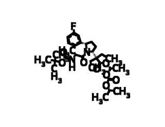 CCC(CC)(C(=O)OC(C)OC(=O)OC(C)C)[C@H]1CC[C@@H](c2cccc(F)c2)N1C(=O)[C@@H](C)NC(=O)OC(C)(C)C